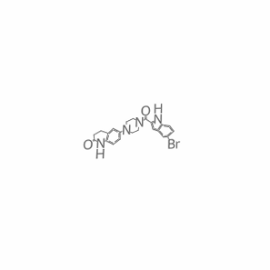 O=C1CCc2cc(N3CCN(C(=O)c4cc5cc(Br)ccc5[nH]4)CC3)ccc2N1